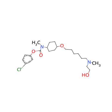 CN(CCO)CCCCCCOC1CCC(N(C)C(=O)Oc2ccc(Cl)cc2)CC1